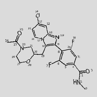 CNC(=O)c1cc(F)c(-c2nc3cc(Cl)ccn3c2CC2CN(C(C)=O)CCO2)c(F)c1